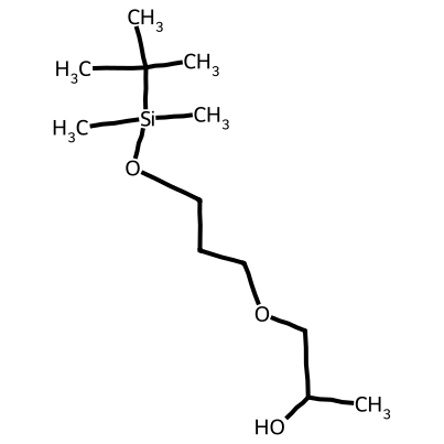 CC(O)COCCCO[Si](C)(C)C(C)(C)C